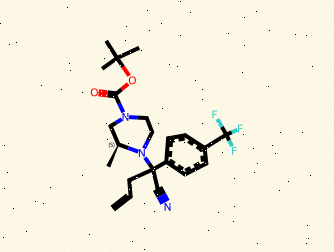 C=CCC(C#N)(c1ccc(C(F)(F)F)cc1)N1CCN(C(=O)OC(C)(C)C)C[C@@H]1C